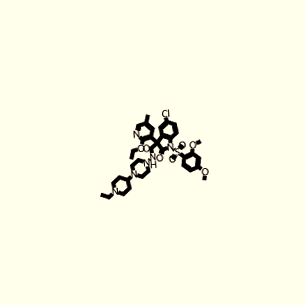 CCOc1ncc(C)cc1C1(C(=O)NN2CCN(C3CCN(CC)CC3)CC2)C(=O)N(S(=O)(=O)c2ccc(OC)cc2OC)c2ccc(Cl)cc21